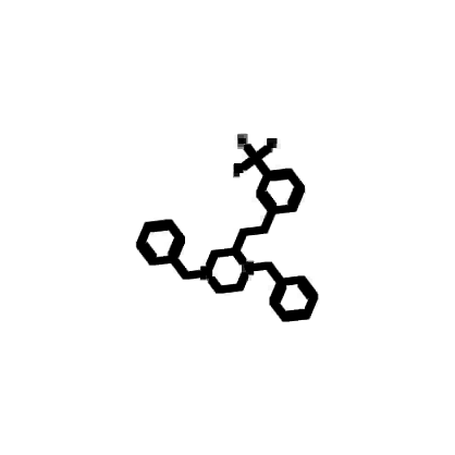 FC(F)(F)c1cccc(CCC2CN(Cc3ccccc3)CCN2Cc2ccccc2)c1